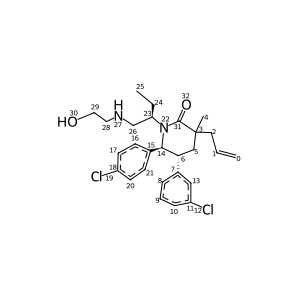 C=CCC1(C)C[C@H](c2cccc(Cl)c2)[C@@H](c2ccc(Cl)cc2)N([C@H](CC)CNCCO)C1=O